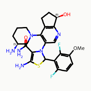 COc1ccc(F)c(C2SC(N)=C(C(N)=O)N2c2cnc3c(c2N2CCC[C@H](N)C2)CC[C@H]3O)c1F